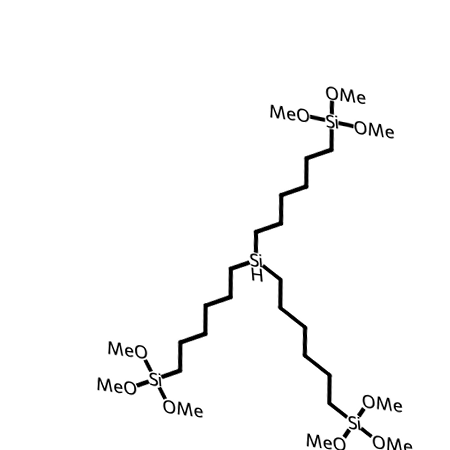 CO[Si](CCCCCC[SiH](CCCCCC[Si](OC)(OC)OC)CCCCCC[Si](OC)(OC)OC)(OC)OC